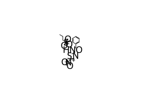 CCCS(=O)(=O)Oc1ccccc1C(=O)Nc1ncc([N+](=O)[O-])s1